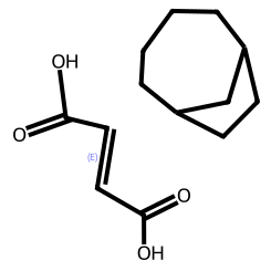 C1CCC2CCC(C1)C2.O=C(O)/C=C/C(=O)O